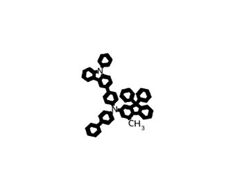 CC1C=C(N(c2ccc(-c3ccccc3)cc2)c2ccc(-c3ccc4c(c3)c3ccccc3n4-c3ccccc3)cc2)C=C2C1c1ccccc1C2(c1ccccc1)c1ccccc1